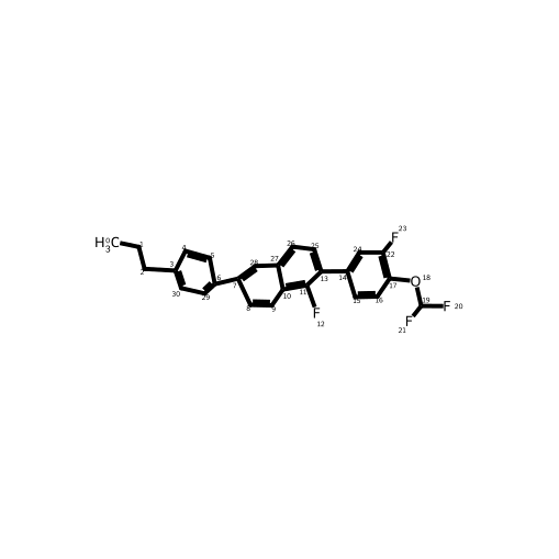 CCCc1ccc(-c2ccc3c(F)c(-c4ccc(OC(F)F)c(F)c4)ccc3c2)cc1